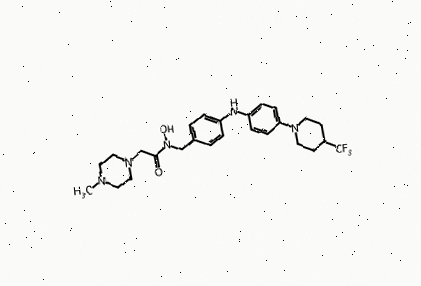 CN1CCN(CC(=O)N(O)Cc2ccc(Nc3ccc(N4CCC(C(F)(F)F)CC4)cc3)cc2)CC1